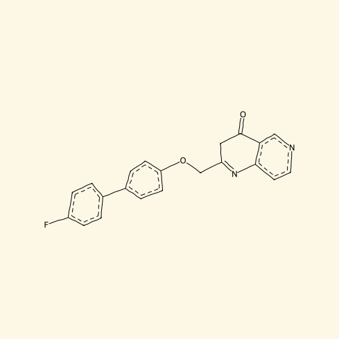 O=C1CC(COc2ccc(-c3ccc(F)cc3)cc2)=Nc2ccncc21